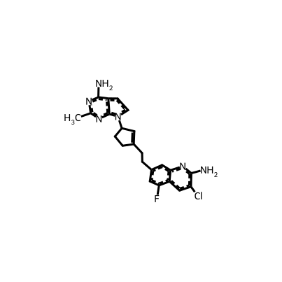 Cc1nc(N)c2ccn(C3C=C(CCc4cc(F)c5cc(Cl)c(N)nc5c4)CC3)c2n1